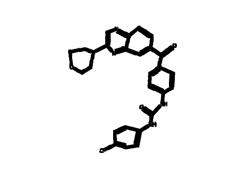 O=C(Nc1ccc(Cl)cc1)Nc1ccc(C(=O)c2ccc3ncc(N4CCOCC4)nc3c2)cc1